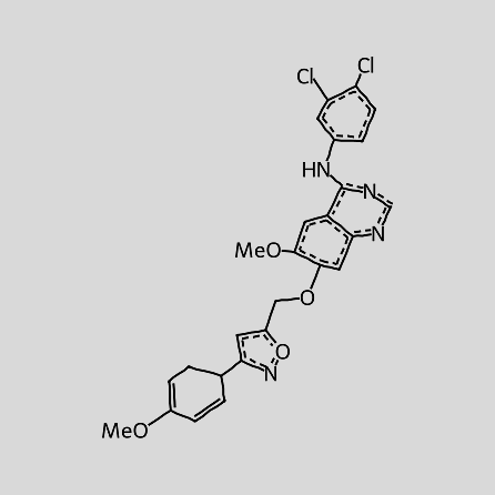 COC1=CCC(c2cc(COc3cc4ncnc(Nc5ccc(Cl)c(Cl)c5)c4cc3OC)on2)C=C1